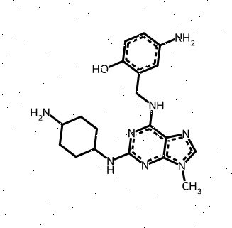 Cn1cnc2c(NCc3cc(N)ccc3O)nc(NC3CCC(N)CC3)nc21